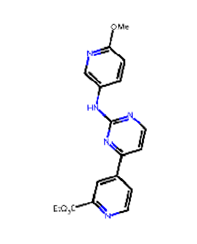 CCOC(=O)c1cc(-c2ccnc(Nc3ccc(OC)nc3)n2)ccn1